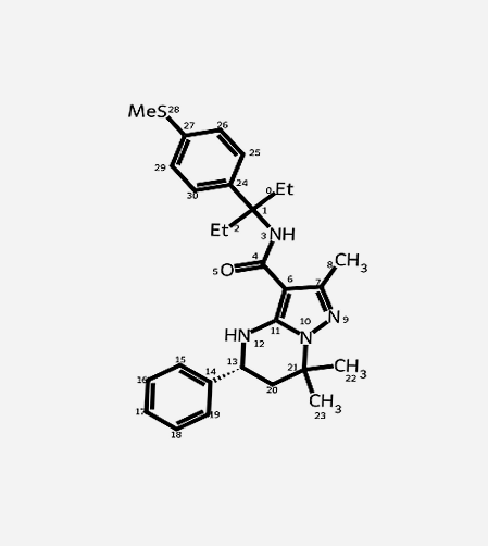 CCC(CC)(NC(=O)c1c(C)nn2c1N[C@@H](c1ccccc1)CC2(C)C)c1ccc(SC)cc1